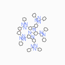 N#Cc1c(-n2c3ccc(-c4nc(-c5ccccc5)nc(-c5ccccc5)n4)cc3c3cc(-c4nc(-c5ccccc5)nc(-c5ccccc5)n4)ccc32)cc(-c2cc(-c3ccccc3)nc(-c3ccccc3)n2)cc1-n1c2ccc(-c3nc(-c4ccccc4)nc(-c4ccccc4)n3)cc2c2cc(-c3nc(-c4ccccc4)nc(-c4ccccc4)n3)ccc21